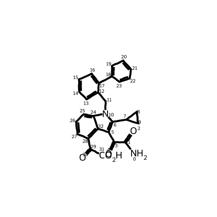 NC(=O)C(=O)c1c(C2CC2)n(Cc2ccccc2-c2ccccc2)c2cccc(C(=O)C(=O)O)c12